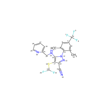 Cc1cc(C(F)(F)F)cc(C)c1-n1nc(C#N)c(SC(F)F)c1NCc1ccccn1